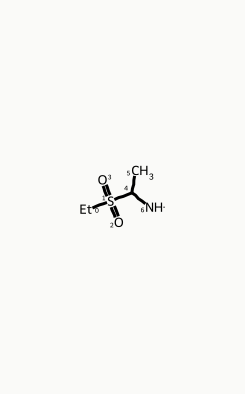 CCS(=O)(=O)C(C)[NH]